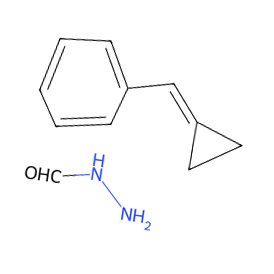 C(=C1CC1)c1ccccc1.NNC=O